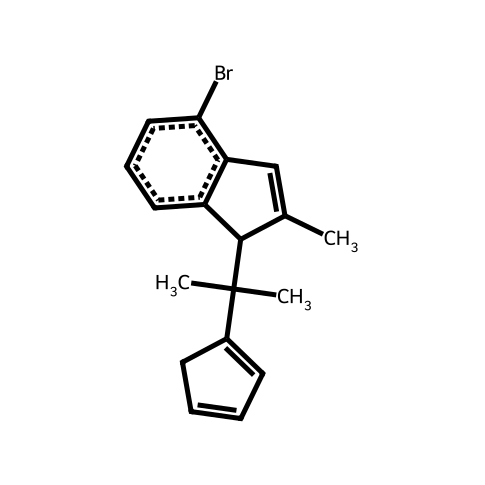 CC1=Cc2c(Br)cccc2C1C(C)(C)C1=CC=CC1